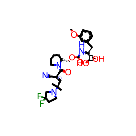 COc1cccc(C[C@H](NC(=O)OC[C@H]2CCCCN2C(=O)/C(C#N)=C/C(C)(C)N2CCC(F)(F)C2)B(O)O)c1